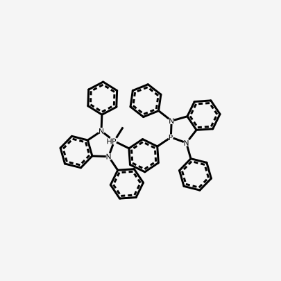 C[PH]1(c2cccc(P3N(c4ccccc4)c4ccccc4N3c3ccccc3)c2)N(c2ccccc2)c2ccccc2N1c1ccccc1